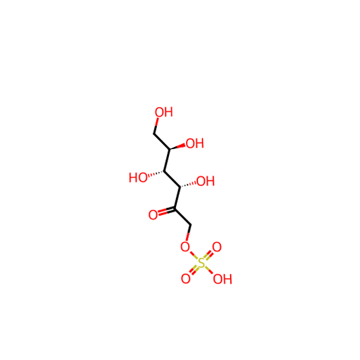 O=C(COS(=O)(=O)O)[C@@H](O)[C@H](O)[C@H](O)CO